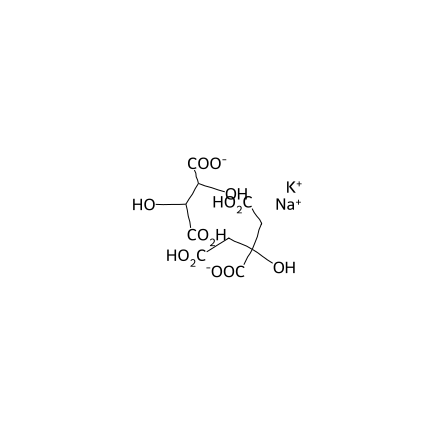 O=C(O)CC(O)(CC(=O)O)C(=O)[O-].O=C([O-])C(O)C(O)C(=O)O.[K+].[Na+]